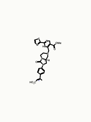 COC(=O)C1=C(CN2CCN3C(=O)N(c4ccc(/C(C)=C/C(=O)O)cc4)C[C@@H]3C2)NC(c2nccs2)=NC1